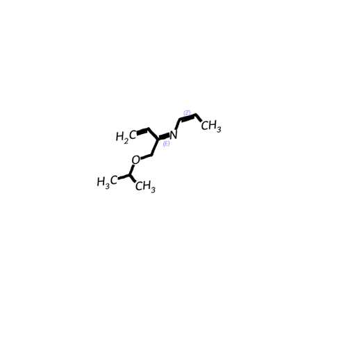 C=C/C(COC(C)C)=N\C=C/C